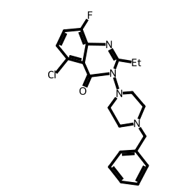 CCc1nc2c(F)ccc(Cl)c2c(=O)n1N1CCN(Cc2ccccc2)CC1